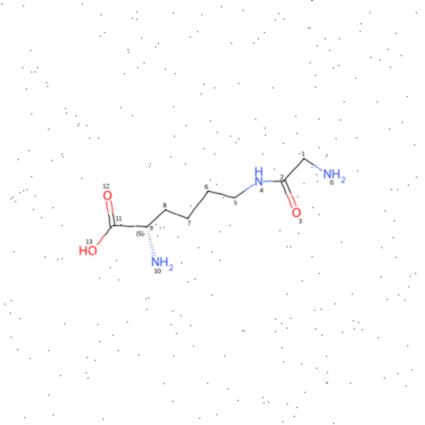 NCC(=O)NCCCC[C@H](N)C(=O)O